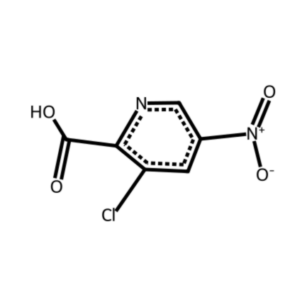 O=C(O)c1ncc([N+](=O)[O-])cc1Cl